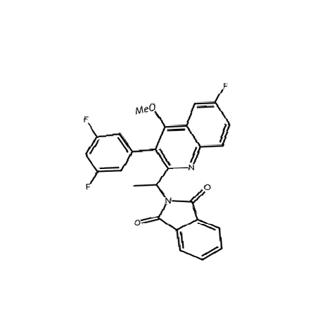 COc1c(-c2cc(F)cc(F)c2)c(C(C)N2C(=O)c3ccccc3C2=O)nc2ccc(F)cc12